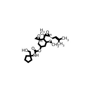 COC1CC(OC(=O)NC2(CO)CCCC2)C[C@]2(CO2)C1[C@@]1(C)O[C@@H]1CC=C(C)C